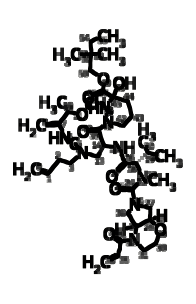 C=CCCN(CNC(=C)[C@H](C)OC)C[C@H](NC(=O)[C@H](C(C)C)N(C)C(=O)N1C[C@@H]2OCCN(C(=O)C=C)[C@@H]2C1)C(=O)N1CCCC(O)(C(=O)OCC(C)(C)CC)N1